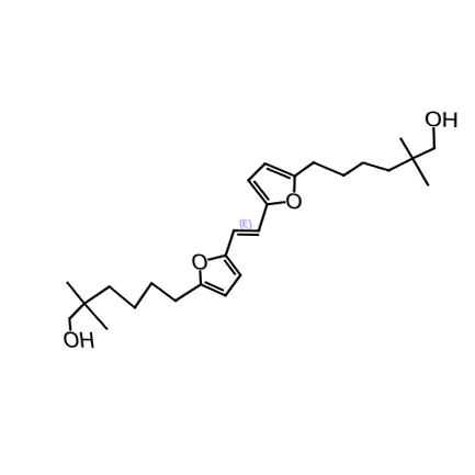 CC(C)(CO)CCCCc1ccc(/C=C/c2ccc(CCCCC(C)(C)CO)o2)o1